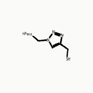 CCCCCCn1cc(CS)nn1